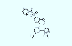 Cn1nccc1-c1cc(C(F)(F)F)ccc1[C@H]1CCOc2cc(S(=O)(=O)Nc3cnccn3)ccc21